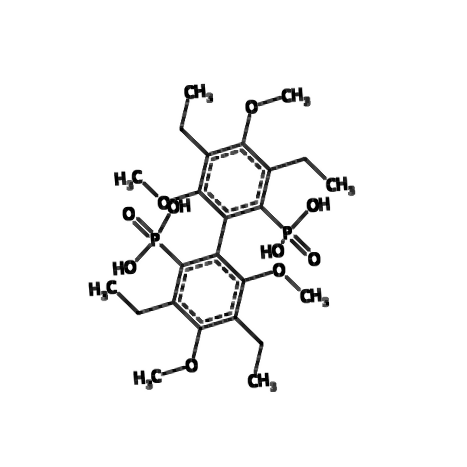 CCc1c(OC)c(CC)c(P(=O)(O)O)c(-c2c(OC)c(CC)c(OC)c(CC)c2P(=O)(O)O)c1OC